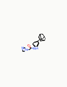 O=C(Cn1ccnc1)Nc1ccc(C23CC4CC(CC(C4)C2)C3)cc1